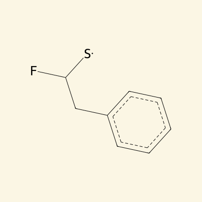 FC([S])Cc1ccccc1